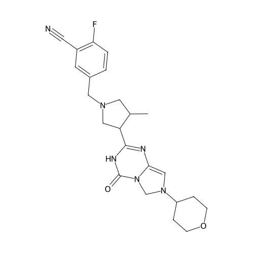 CC1CN(Cc2ccc(F)c(C#N)c2)CC1C1=NC2=CN(C3CCOCC3)CN2C(=O)N1